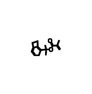 C=C(C)C(=O)OC(C)(C)C1=C2CCC2=C=CC1